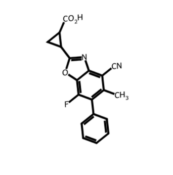 Cc1c(-c2ccccc2)c(F)c2oc(C3CC3C(=O)O)nc2c1C#N